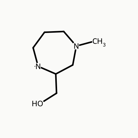 CN1CCC[N]C(CO)C1